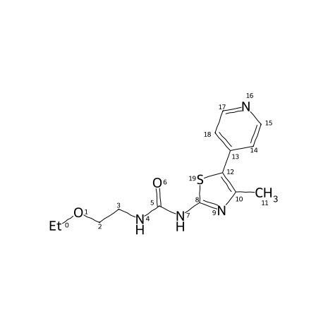 CCOCCNC(=O)Nc1nc(C)c(-c2ccncc2)s1